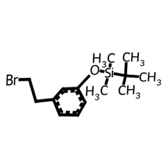 CC(C)(C)[Si](C)(C)Oc1cccc(CCBr)c1